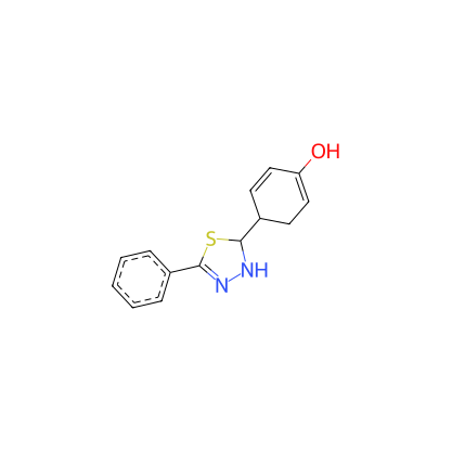 OC1=CCC(C2NN=C(c3ccccc3)S2)C=C1